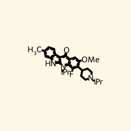 COc1cc2c(=O)c3c4ccc(C)cc4[nH]c3n(C(C)C)c2c(F)c1C1CCN(C(C)C)CC1